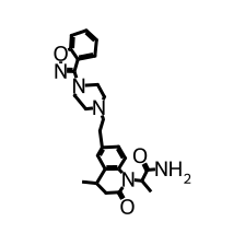 CC1CC(=O)N(C(C)C(N)=O)c2ccc(CCN3CCN(c4noc5ccccc45)CC3)cc21